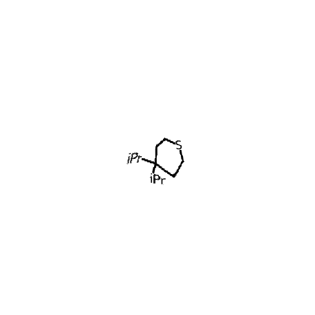 CC(C)C1(C(C)C)CCSCC1